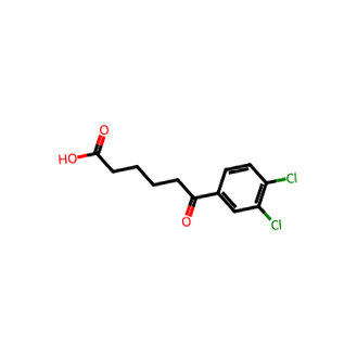 O=C(O)CCCCC(=O)c1ccc(Cl)c(Cl)c1